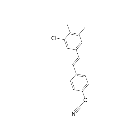 Cc1cc(/C=C/c2ccc(OC#N)cc2)cc(Cl)c1C